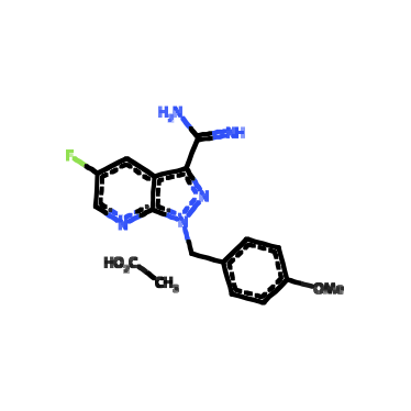 CC(=O)O.COc1ccc(Cn2nc(C(=N)N)c3cc(F)cnc32)cc1